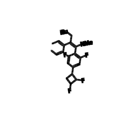 C\C=C/C(=C\C)C(/CC(C)CC)=C(/NC)c1c(F)cc(C2CC(F)C2F)cc1F